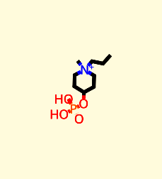 CCC[N+]1(C)CCC(OP(=O)(O)O)CC1